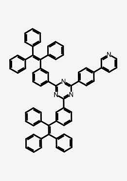 c1ccc(C(=C(c2ccccc2)c2cccc(-c3nc(-c4ccc(-c5cccnc5)cc4)nc(-c4cccc(C(=C(c5ccccc5)c5ccccc5)c5ccccc5)c4)n3)c2)c2ccccc2)cc1